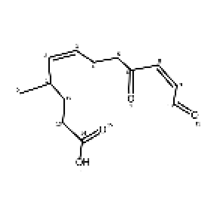 CC(/C=C\CCC(=O)/C=C\C=O)CCC(=O)O